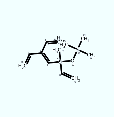 C=CC(C=C)=C[Si](C)(C=C)O[Si](C)(C)C